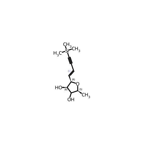 C[C@@H]1O[C@H](/C=C/C#C[Si](C)(C)C)[C@H](O)C1O